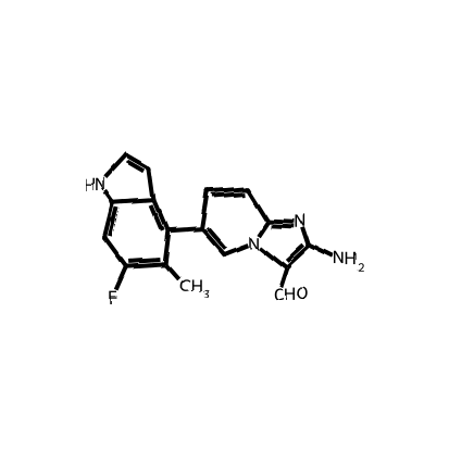 Cc1c(F)cc2[nH]ccc2c1-c1ccc2nc(N)c(C=O)n2c1